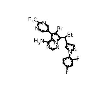 CCC(c1cnn(-c2ccc(F)cc2F)c1)c1c(Br)c(-c2cnc(C(F)(F)F)nc2)c2c(N)ncnn12